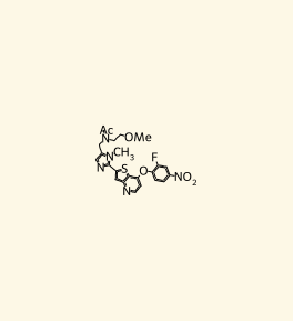 COCCN(Cc1cnc(-c2cc3nccc(Oc4ccc([N+](=O)[O-])cc4F)c3s2)n1C)C(C)=O